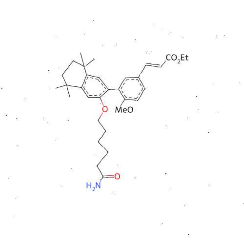 CCOC(=O)/C=C/c1ccc(OC)c(-c2cc3c(cc2OCCCCCC(N)=O)C(C)(C)CCC3(C)C)c1